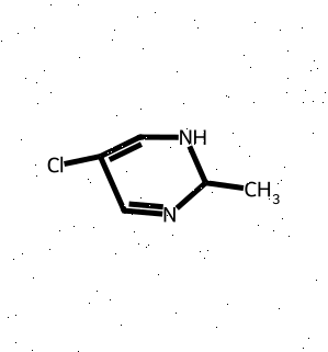 CC1N=CC(Cl)=CN1